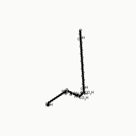 [O]CCOCCNC(=O)CCOCCOCCOCCOCCOCCOCCOCCOCCOCCOCCOCCOCCNC(=O)CC[C@H](NC(=O)CC[C@H](NC(=O)CCCNC(=O)CCCS(=O)(=O)NC(=O)CCCCCCCCCCCCCCCc1nnn[nH]1)C(=O)O)C(=O)O